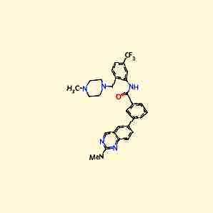 CNc1ncc2cc(-c3cccc(C(=O)Nc4cc(C(F)(F)F)ccc4CN4CCN(C)CC4)c3)ccc2n1